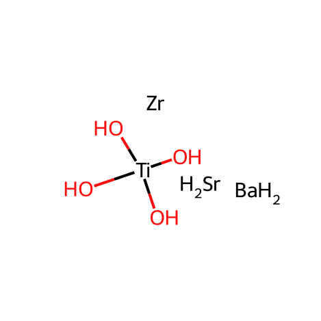 [BaH2].[OH][Ti]([OH])([OH])[OH].[SrH2].[Zr]